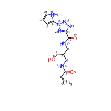 C=CC(=O)NCC(CO)CNC(=O)c1nnn(-c2ccc[nH]2)n1